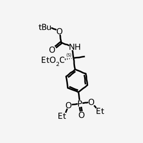 CCOC(=O)[C@@](C)(NC(=O)OC(C)(C)C)c1ccc(P(=O)(OCC)OCC)cc1